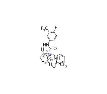 O=C(Nc1ccc(F)c(C(F)(F)F)c1)[C@@H]1[C@H](NC(=O)C(F)(F)F)[C@@H]2CC[C@H]1/C2=C/c1ccccc1